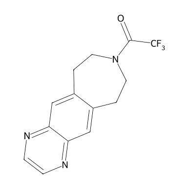 O=C(N1CCc2cc3nccnc3cc2CC1)C(F)(F)F